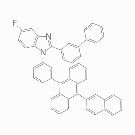 Fc1ccc2c(c1)nc(-c1cccc(-c3ccccc3)c1)n2-c1cccc(-c2c3ccccc3c(-c3ccc4ccccc4c3)c3ccccc23)c1